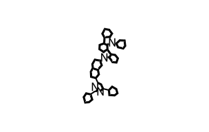 c1ccc(-c2cc(-c3ccc4ccc(-n5c6ccccc6c6c5ccc5c7ccccc7n(-c7ccccc7)c56)cc4c3)nc(-c3ccccc3)n2)cc1